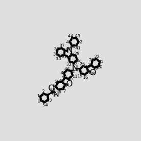 c1ccc(-c2nc3cc4oc5cc(N(c6ccc7oc8ccccc8c7c6)c6ccc7c(c6)c6ccccc6n7-c6ccccc6)ccc5c4cc3o2)cc1